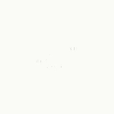 C=CCCCCC(CCC)C(=O)OCC